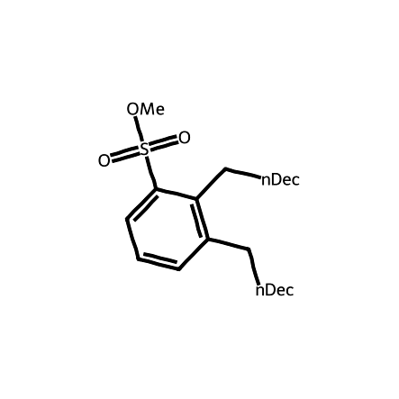 CCCCCCCCCCCc1cccc(S(=O)(=O)OC)c1CCCCCCCCCCC